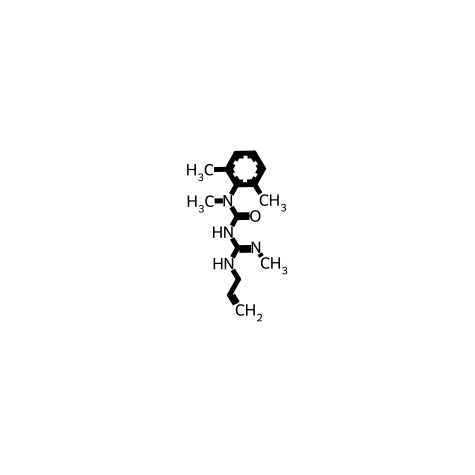 C=CCNC(=NC)NC(=O)N(C)c1c(C)cccc1C